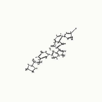 Cc1cn(-c2cccc3[nH]c(-c4n[nH]c5cnc(-c6cncc(NC(=O)C7CCCC7)c6)c(F)c45)nc23)cn1